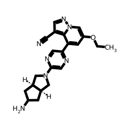 CCOc1cc(-c2cnc(N3C[C@H]4CC(N)C[C@H]4C3)cn2)c2c(C#N)cnn2c1